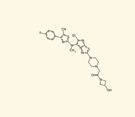 CCc1nc2sc(N3CCN(CC(=O)N4CC(O)C4)CC3)nn2c1N(C)c1nc(-c2ccc(F)cc2)c(C#N)s1